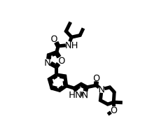 CCC(CC)NC(=O)c1cnc(-c2cccc(-c3cc(C(=O)N4CCC(C)(OC)CC4)n[nH]3)c2)o1